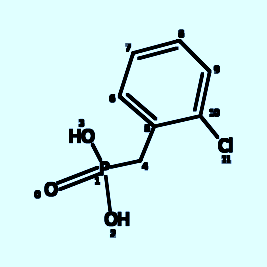 O=P(O)(O)Cc1ccccc1Cl